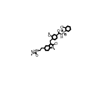 COc1cc(C(=O)NS(=O)(=O)c2ccccc2Cl)ccc1Cc1c(Cl)n(C)c2ccc(CCNC(=O)N(C)C)cc12